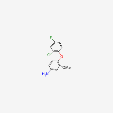 COc1cc(N)ccc1Oc1ccc(F)cc1Cl